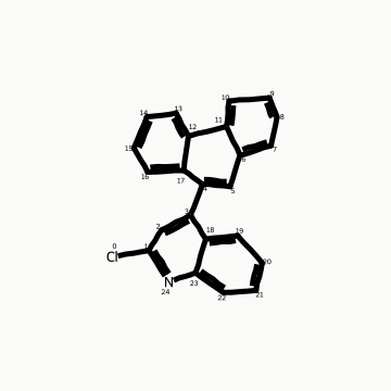 Clc1cc(-c2cc3ccccc3c3ccccc23)c2ccccc2n1